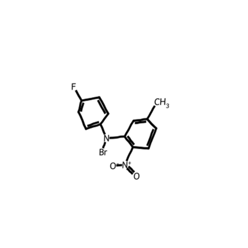 Cc1ccc([N+](=O)[O-])c(N(Br)c2ccc(F)cc2)c1